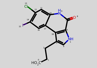 O=C(O)CCc1c[nH]c2c(=O)[nH]c3cc(Cl)c(I)cc3c12